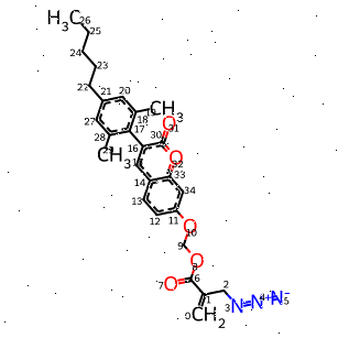 C=C(CN=[N+]=[N-])C(=O)OCOc1ccc2cc(-c3c(C)cc(CCCCC)cc3C)c(=O)oc2c1